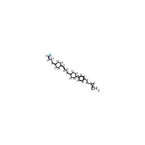 CC1CC1CCc1ccc(C2CCC(CCC=CC3CCC(CC/C=C\F)CC3)CC2)cc1